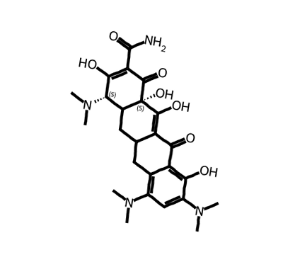 CN(C)c1cc(N(C)C)c2c(c1O)C(=O)C1=C(O)[C@]3(O)C(=O)C(C(N)=O)=C(O)[C@@H](N(C)C)C3CC1C2